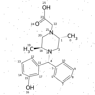 C[C@@H]1CN([C@H](c2ccccc2)c2cccc(O)c2)[C@@H](C)CN1CC(=O)O